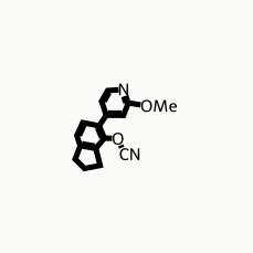 COc1cc(-c2ccc3c(c2OC#N)CCC3)ccn1